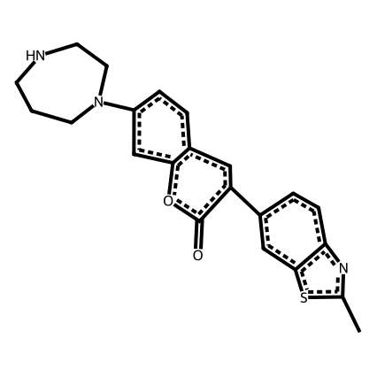 Cc1nc2ccc(-c3cc4ccc(N5CCCNCC5)cc4oc3=O)cc2s1